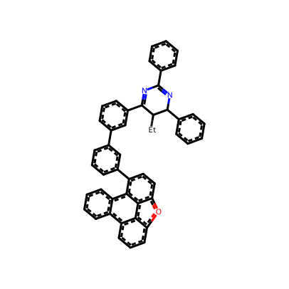 CCC1C(c2cccc(-c3cccc(-c4ccc5oc6cccc7c8ccccc8c4c5c67)c3)c2)=NC(c2ccccc2)=NC1c1ccccc1